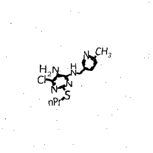 CCCSc1nc(Cl)c(N)c(NCc2ccc(C)nc2)n1